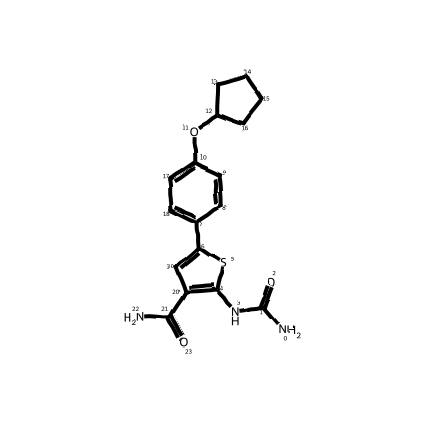 NC(=O)Nc1sc(-c2ccc(OC3[CH]CCC3)cc2)cc1C(N)=O